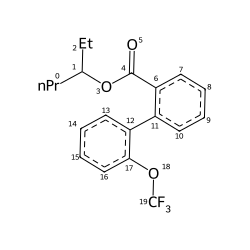 CCCC(CC)OC(=O)c1ccccc1-c1ccccc1OC(F)(F)F